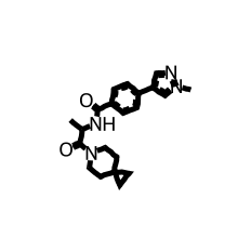 CC(NC(=O)c1ccc(-c2cnn(C)c2)cc1)C(=O)N1CCC2(CC1)CC2